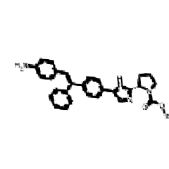 CC(C)(C)OC(=O)N1CCC[C@H]1c1ncc(-c2ccc(C(=Cc3ccc(N)cc3)c3ccccc3)cc2)[nH]1